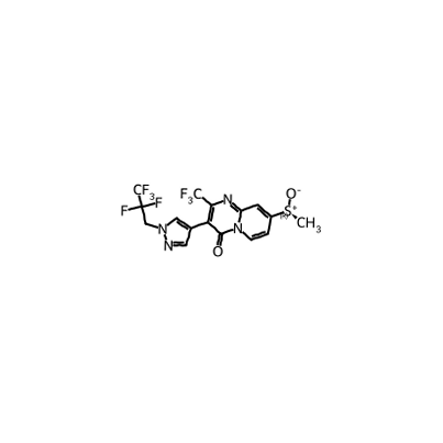 C[S@+]([O-])c1ccn2c(=O)c(-c3cnn(CC(F)(F)C(F)(F)F)c3)c(C(F)(F)F)nc2c1